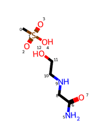 CS(=O)(=O)O.NC(=O)CNCCO